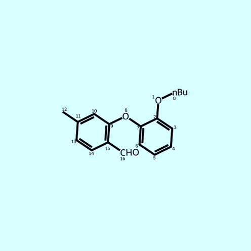 CCCCOc1ccccc1Oc1cc(C)ccc1C=O